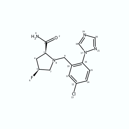 NC(=O)[C@@H]1C[C@H](F)CN1Cc1cc(Cl)ccc1-n1cncn1